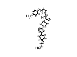 Cc1ccc(CN2CC[C@@H](CNC(=O)N3CCN(c4nc(-c5ccc(OCCO)cc5)no4)CC3)C2)cc1